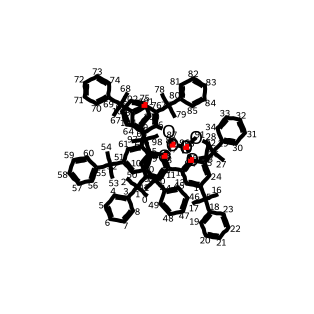 CC(C)(c1ccccc1)c1cc(-c2cc(C(C)(C)c3ccccc3)cc(C(C)(C)c3ccccc3)c2Op2oc3c(C(C)(C)c4ccccc4)cc(C(C)(C)c4ccccc4)cc3c3cc(C(C)(C)c4ccccc4)cc(C(C)(C)c4ccccc4)c3o2)c(OP2OCCO2)c(C(C)(C)c2ccccc2)c1